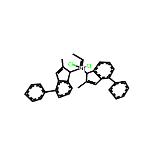 C[CH]=[Hf]([Cl])([Cl])([CH]1C(C)=Cc2c(-c3ccccc3)cccc21)[CH]1C(C)=Cc2c(-c3ccccc3)cccc21